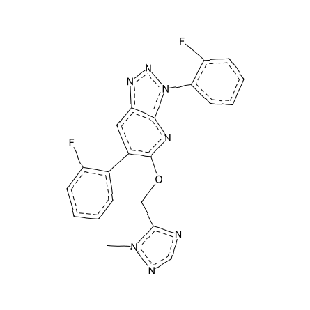 Cn1ncnc1COc1nc2c(cc1-c1ccccc1F)nnn2-c1ccccc1F